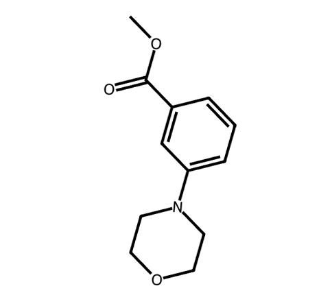 COC(=O)c1cccc(N2CCOCC2)c1